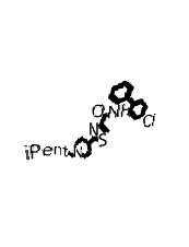 CCCC(C)CN1CCC(c2nc(C(=O)Nc3ccccc3-c3ccc(Cl)cc3)cs2)CC1